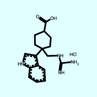 Cl.N=C(N)NCC1(c2c[nH]c3ccccc23)CCC(C(=O)O)CC1